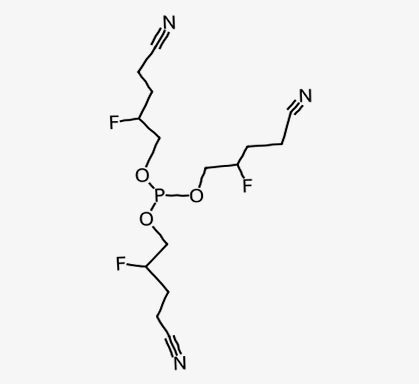 N#CCCC(F)COP(OCC(F)CCC#N)OCC(F)CCC#N